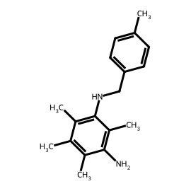 Cc1ccc(CNc2c(C)c(C)c(C)c(N)c2C)cc1